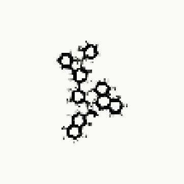 c1ccc(-n2c3ccccc3c3cc(-c4cccc(-n5c(-c6ccc7ccccc7c6)nc6c7ccccc7c7ccccc7c65)c4)ccc32)cc1